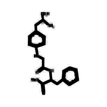 COC(=O)C(Cc1ccccc1)NC(=O)CNc1ccc(C[C@H](N)C(=O)O)cc1